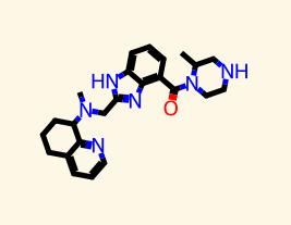 CC1CNCCN1C(=O)c1cccc2[nH]c(CN(C)C3CCCc4cccnc43)nc12